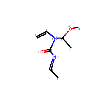 C=CN(C(=O)N=CC)C(C)OC